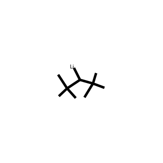 [Li][CH](C(C)(C)C)C(C)(C)C